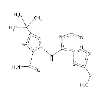 CSc1nc2ncnc(Nc3cc(C(C)(C)C)[se]c3C(N)=O)c2s1